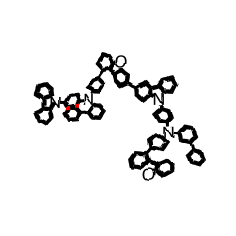 c1ccc(-c2cccc(N(c3ccc(-c4cccc5oc6ccccc6c45)cc3)c3ccc(-n4c5ccccc5c5cc(-c6ccc7c(c6)oc6cccc(-c8ccc(N(c9ccc(-n%10c%11ccccc%11c%11ccccc%11%10)cc9)c9ccccc9-c9ccccc9)cc8)c67)ccc54)cc3)c2)cc1